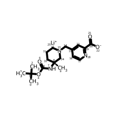 CC(C)(C)OC(=O)N[C@]1(C)CCCN(Cc2ccnc(C(=O)[O-])c2)C1.[Li+]